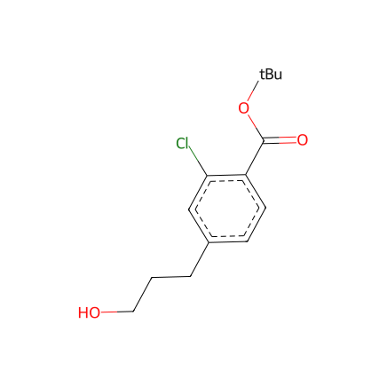 CC(C)(C)OC(=O)c1ccc(CCCO)cc1Cl